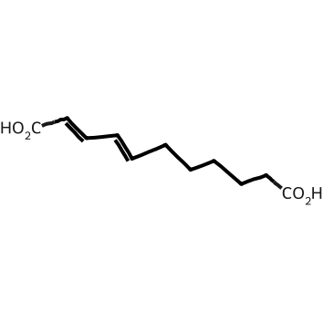 O=C(O)/C=C/C=C/CCCCCC(=O)O